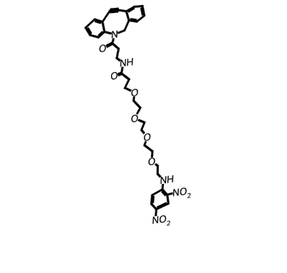 O=C(CCOCCOCCOCCOCCNc1ccc([N+](=O)[O-])cc1[N+](=O)[O-])NCCC(=O)N1Cc2ccccc2C#Cc2ccccc21